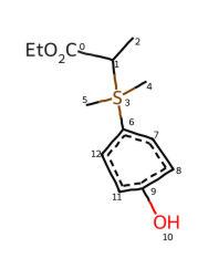 CCOC(=O)C(C)S(C)(C)c1ccc(O)cc1